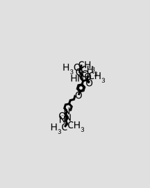 COC(=O)C(NC(=O)OC(C)(C)C)c1ccc(OCCCC2CCN(c3nc(C(C)C)no3)CC2)cc1